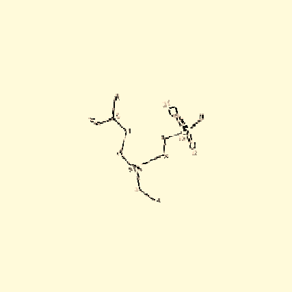 CCN(CCC(C)C)CCS(C)(=O)=O